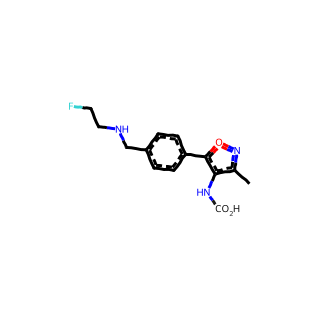 Cc1noc(-c2ccc(CNCCF)cc2)c1NC(=O)O